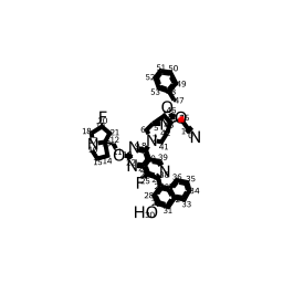 N#CC[C@@H]1CC2CN(c3nc(OC[C@@]45CCCN4C[C@H](F)C5)nc4c(F)c(-c5cc(O)cc6ccccc56)ncc34)CC1N2C(=O)OCc1ccccc1